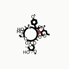 CC[C@H]1OC(=O)[C@H](C)[C@@H](O[C@H]2C[C@@](C)(OC)[C@@H](O)[C@H](C)O2)[C@H](C)[C@@H](OC2OC(C)CC(N(C)C)C2OC(=O)Cc2ccc(OC)cc2)[C@](C)(O)C[C@@H](C)CN(C)[C@H](C)[C@@H](O)[C@]1(C)O